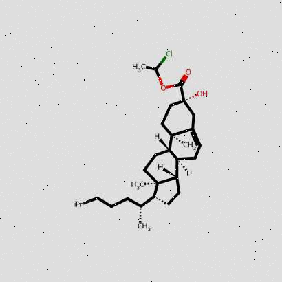 CC(C)CCC[C@@H](C)[C@H]1CC[C@H]2[C@@H]3CC=C4C[C@](O)(C(=O)OC(C)Cl)CC[C@]4(C)[C@H]3CC[C@]12C